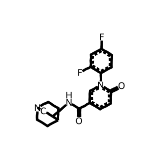 O=C(NC1CN2CCC1CC2)c1ccc(=O)n(-c2ccc(F)cc2F)c1